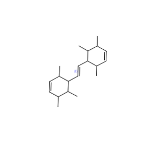 CC1C=CC(C)C(/C=C/C2C(C)C=CC(C)C2C)C1C